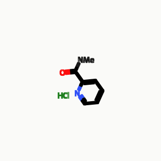 CNC(=O)c1ccccn1.Cl